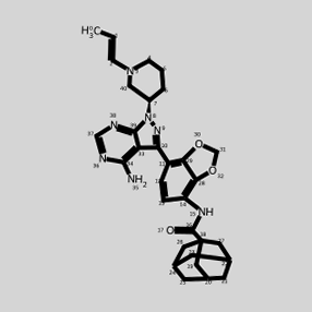 CC=CN1CCC[C@@H](n2nc(-c3ccc(NC(=O)C45CC6CC(CC(C6)C4)C5)c4c3OCO4)c3c(N)ncnc32)C1